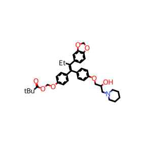 CC/C(=C(\c1ccc(OCOC(=O)C(C)(C)C)cc1)c1ccc(OCC(O)CN2CCCCC2)cc1)c1ccc2c(c1)OCO2